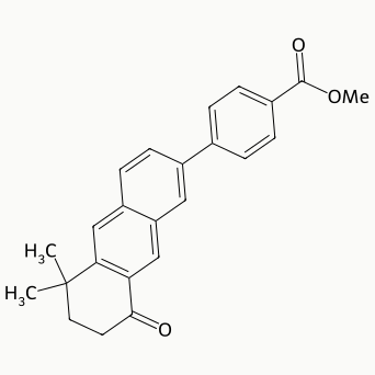 COC(=O)c1ccc(-c2ccc3cc4c(cc3c2)C(=O)CCC4(C)C)cc1